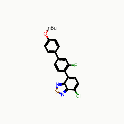 CCCCOc1ccc(-c2ccc(-c3ccc(Cl)c4nsnc34)c(F)c2)cc1